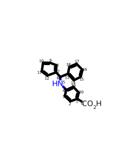 O=C(O)c1ccc(NC(c2ccccc2)c2ccccc2)cc1